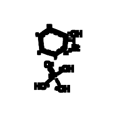 CCO.O=P(O)(O)O.c1ccccc1